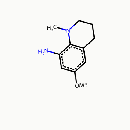 COc1cc(N)c2c(c1)CCCN2C